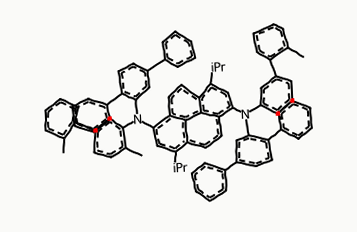 Cc1ccccc1-c1ccc(C)c(N(c2cc(-c3ccccc3)ccc2-c2ccccc2)c2cc(C(C)C)c3ccc4c(N(c5cc(-c6ccccc6C)ccc5C)c5cc(-c6ccccc6)ccc5-c5ccccc5)cc(C(C)C)c5ccc2c3c54)c1